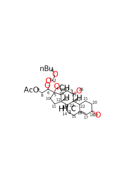 CCCCOC(=O)O[C@]1(C(=O)COC(C)=O)CC[C@H]2[C@@H]3CCC4=CC(=O)CC[C@]4(C)[C@H]3C(=O)C[C@@]21C